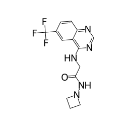 O=C(CNc1ncnc2ccc(C(F)(F)F)cc12)NN1CCC1